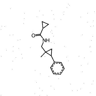 CC1(CNC(=O)C2CC2)CC1c1ccccc1